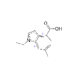 C=C(C)/C=c1\c(=C(/C)C(=O)O)ccn1CC